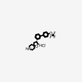 Cl.FC(F)(F)Oc1ccc(-c2cccc([C@@H]3COC4(CCNCC4)C3)c2)cc1